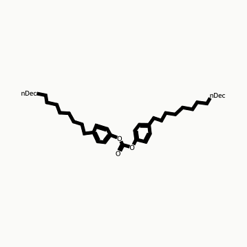 CCCCCCCCCCCCCCCCCCc1ccc(OC(=O)Oc2ccc(CCCCCCCCCCCCCCCCCC)cc2)cc1